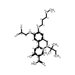 CCC(C)(C)N1Cc2cc(OCCCOC)c(OCC(F)F)cc2-c2cc(=O)c(C(=O)O)cn21